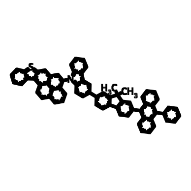 CC1(C)c2cc(-c3ccc4c(c3)c3ccccc3n4-c3cc4cc5sc6ccccc6c5c5ccc6cccc3c6c45)ccc2-c2ccc(-c3c4ccccc4c(-c4ccccc4)c4ccccc34)cc21